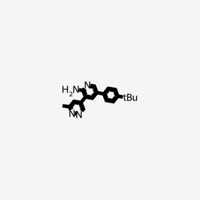 Cc1cc(-c2cc(-c3ccc(C(C)(C)C)cc3)cnc2N)cnn1